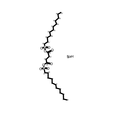 CCCCCCCCCCCCS(=O)(=O)OC(=O)CCC(=O)OS(=O)(=O)CCCCCCCCCCCC.[NaH]